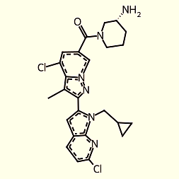 Cc1c(-c2cc3ccc(Cl)nc3n2CC2CC2)nn2cc(C(=O)N3CCC[C@@H](N)C3)cc(Cl)c12